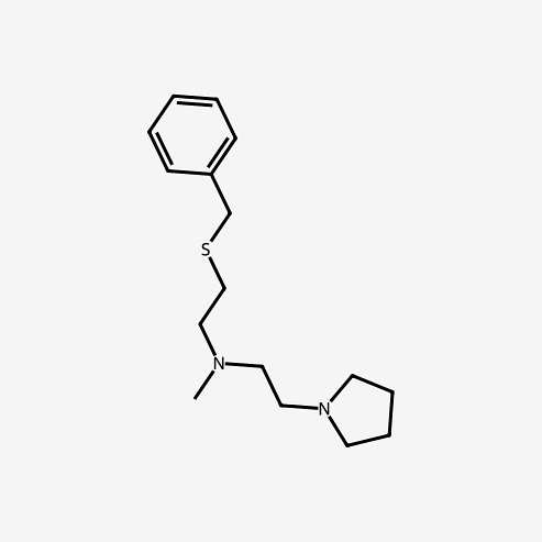 CN(CCSCc1ccccc1)CCN1CCCC1